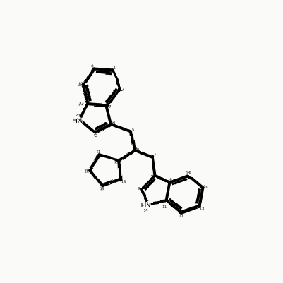 c1ccc2c(CC(Cc3c[nH]c4ccccc34)C3CCCC3)c[nH]c2c1